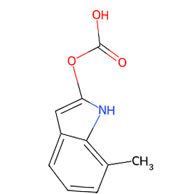 Cc1cccc2cc(OC(=O)O)[nH]c12